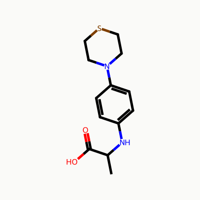 CC(Nc1ccc(N2CCSCC2)cc1)C(=O)O